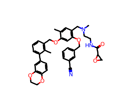 Cc1cc(CN(C)CCNC(=O)C2CO2)c(OCc2cccc(C#N)c2)cc1OCc1cccc(-c2ccc3c(c2)OCCO3)c1C